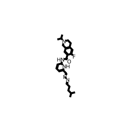 CC(C)CC/C=N/N=C/C1=CC=CC(NC(=O)c2cc3c(cc2F)CCN(C(C)C)C3)N1